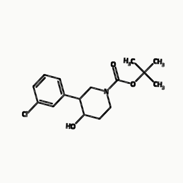 CC(C)(C)OC(=O)N1CCC(O)C(c2cccc(Cl)c2)C1